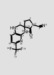 N#CN1CCC2(CNc3ccc(C(F)(F)F)nc3N2)C1=O